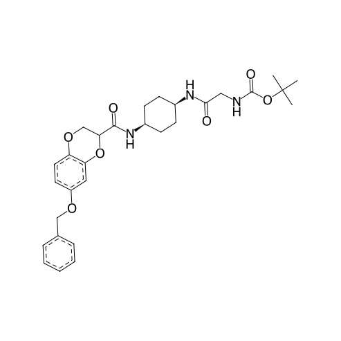 CC(C)(C)OC(=O)NCC(=O)N[C@H]1CC[C@@H](NC(=O)C2COc3ccc(OCc4ccccc4)cc3O2)CC1